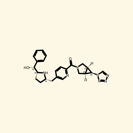 O=C(c1ccc(C[C@@H]2CC[C@H]([C@H](O)c3ccccc3)N2)cn1)N1C[C@@H]2[C@H](C1)[C@@H]2n1cnnn1